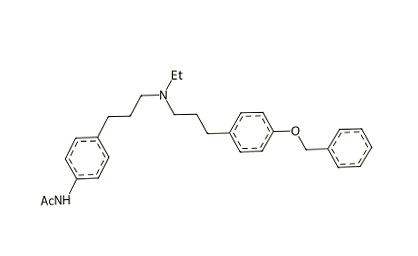 CCN(CCCc1ccc(NC(C)=O)cc1)CCCc1ccc(OCc2ccccc2)cc1